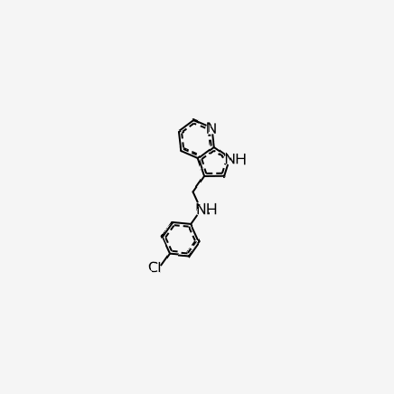 Clc1ccc(NCc2c[nH]c3ncccc23)cc1